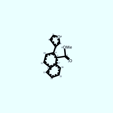 COC(=O)c1c(-c2ccoc2)ccc2ccccc12